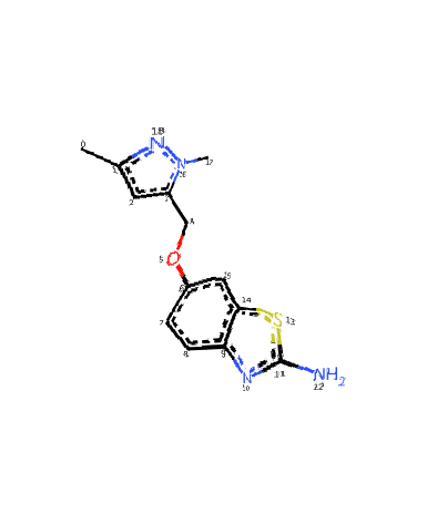 Cc1cc(COc2ccc3nc(N)sc3c2)n(C)n1